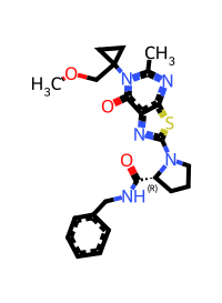 COCC1(n2c(C)nc3sc(N4CCC[C@@H]4C(=O)NCc4ccccc4)nc3c2=O)CC1